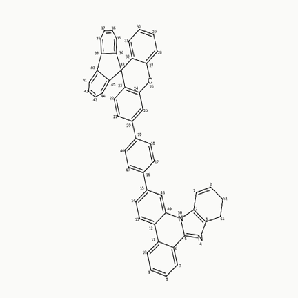 C1=Cc2c(nc3c4ccccc4c4ccc(-c5ccc(-c6ccc7c(c6)Oc6ccccc6C76c7ccccc7-c7ccccc76)cc5)cc4n23)CC1